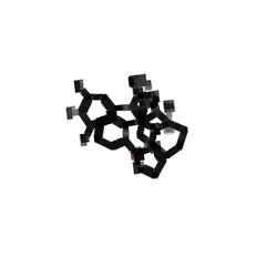 Cn1nc2c(c1-c1cc(F)c(F)c(F)c1)C[C@@H]1CCC[C@H]2N1C(=O)c1ncccc1-n1nccn1